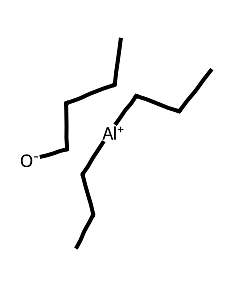 CCCC[O-].CC[CH2][Al+][CH2]CC